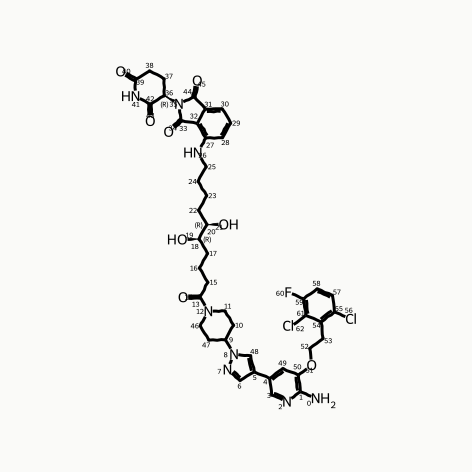 Nc1ncc(-c2cnn(C3CCN(C(=O)CCC[C@@H](O)[C@H](O)CCCCNc4cccc5c4C(=O)N([C@@H]4CCC(=O)NC4=O)C5=O)CC3)c2)cc1OCCc1c(Cl)ccc(F)c1Cl